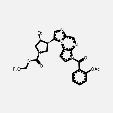 CC[C@@H]1CN(C(=O)NCC(F)(F)F)C[C@@H]1c1cnc2cnc3c(ccn3C(=O)c3ccccc3OC(C)=O)n12